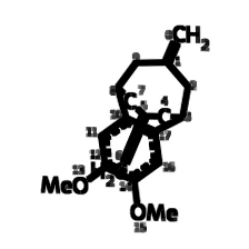 C=C1CC2CC(=C)CC(C1)c1cc(OC)c(OC)cc12